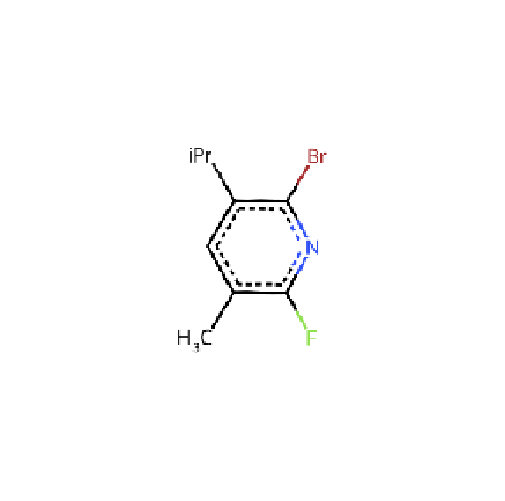 Cc1cc(C(C)C)c(Br)nc1F